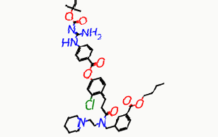 CCCCOC(=O)c1cccc(CN(CCN2CCCCC2)C(=O)CCc2ccc(OC(=O)c3ccc(N/C(N)=N/C(=O)OC(C)(C)C)cc3)cc2Cl)c1